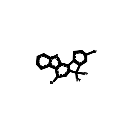 CC(C)C1(C(C)C)c2cc(Br)ccc2-c2c1cc(Br)c1c2sc2ccccc21